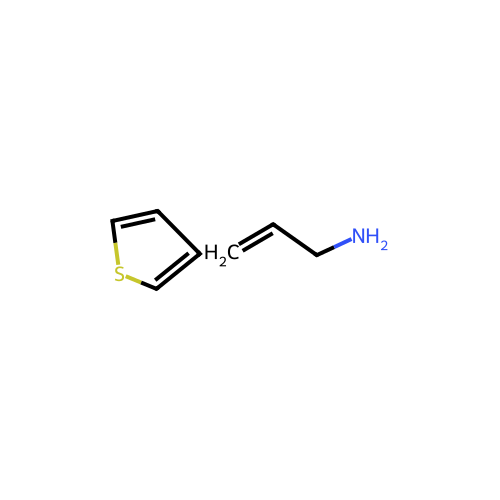 C=CCN.c1ccsc1